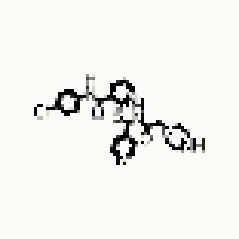 O=C(CN1CCNCC1)NC(Sc1ncccc1C(=O)Nc1ccc(Cl)cc1)c1ccncc1